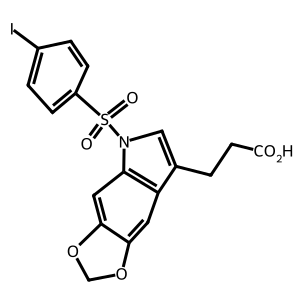 O=C(O)CCc1cn(S(=O)(=O)c2ccc(I)cc2)c2cc3c(cc12)OCO3